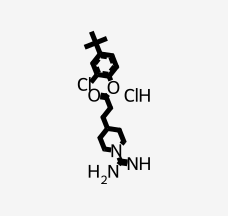 CC(C)(C)c1ccc(OC(=O)CCC2CCN(C(=N)N)CC2)c(Cl)c1.Cl